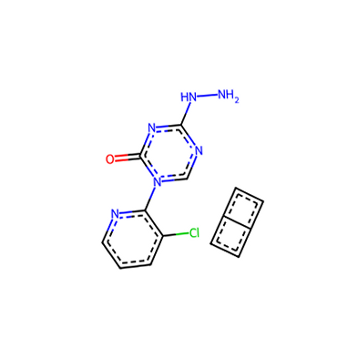 NNc1ncn(-c2ncccc2Cl)c(=O)n1.c1cc2ccc1-2